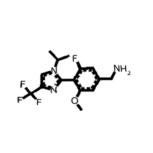 COc1cc(CN)cc(F)c1-c1nc(C(F)(F)F)cn1C(C)C